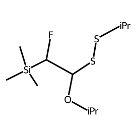 CC(C)OC(SSC(C)C)C(F)[Si](C)(C)C